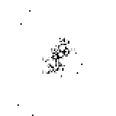 CC1C(=O)C(C#N)C[C@]2(C)c3nn(C)c(N4C(=O)NC(C)(C)C4=O)c3CC[C@@H]12